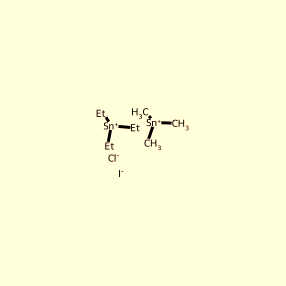 C[CH2][Sn+]([CH2]C)[CH2]C.[CH3][Sn+]([CH3])[CH3].[Cl-].[I-]